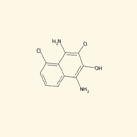 Nc1c(O)c(Cl)c(N)c2c(Cl)cccc12